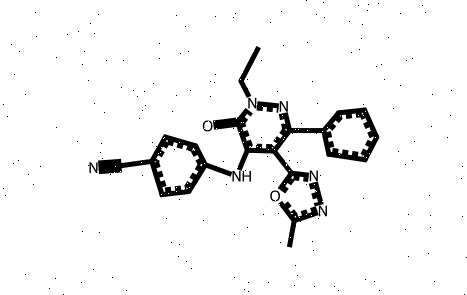 CCn1nc(-c2ccccc2)c(-c2nnc(C)o2)c(Nc2ccc(C#N)cc2)c1=O